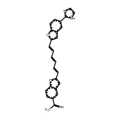 CC(=N)c1ccc2oc(/C=C/C=C/C=C/c3cc4cc(-c5ncc[nH]5)ccc4o3)cc2c1